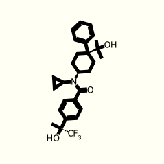 CC(C)(O)[C@]1(c2ccccc2)CC[C@H](N(C(=O)c2ccc([C@](C)(O)C(F)(F)F)cc2)C2CC2)CC1